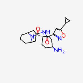 N[C@H]1CC[C@H](C(=O)N2C3CCCC2CC(NC(=O)c2cc(C4CC4)on2)C3)CC1